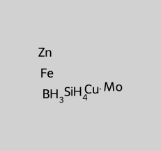 B.[Cu].[Fe].[Mo].[SiH4].[Zn]